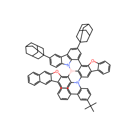 CC(C)(C)c1ccc(N2c3cc4c(oc5ccccc54)c4c3B(c3c2ccc2c3oc3cc5ccccc5cc32)n2c3ccc(C56CC7CC(CC(C7)C5)C6)cc3c3cc(C56CC7CC(CC(C7)C5)C6)cc-4c32)c(-c2ccccc2)c1